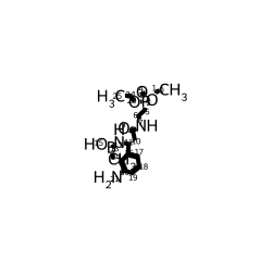 CCOP(=O)(CCNC(=O)C[C@@H](NB(C)O)c1cccc(N)c1)OCC